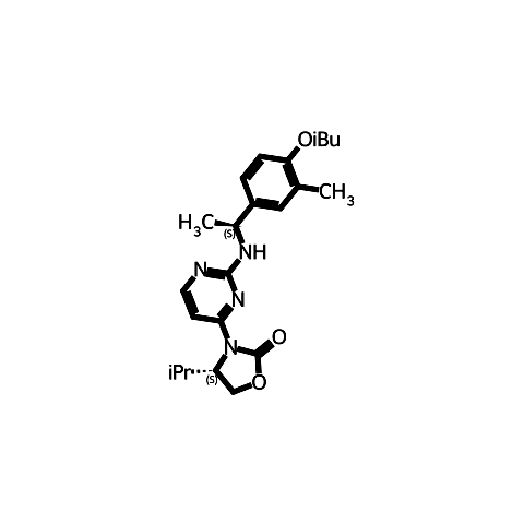 Cc1cc([C@H](C)Nc2nccc(N3C(=O)OC[C@@H]3C(C)C)n2)ccc1OCC(C)C